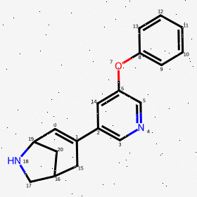 C1=C(c2cncc(Oc3ccccc3)c2)CC2CNC1C2